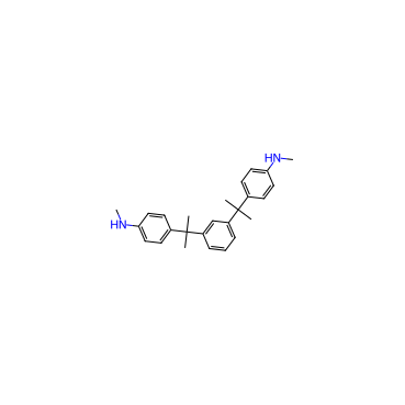 CNc1ccc(C(C)(C)c2cccc(C(C)(C)c3ccc(NC)cc3)c2)cc1